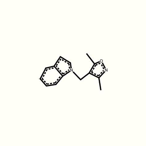 Cc1noc(C)c1Cn1ccc2c[c]ccc21